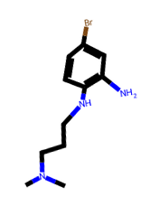 CN(C)CCCNc1ccc(Br)cc1N